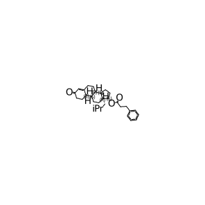 CC(C)C[C@]12CC[C@H]3[C@@H](CCC4=CC(=O)CC[C@@H]43)[C@@H]1CC[C@@H]2OC(=O)CCc1ccccc1